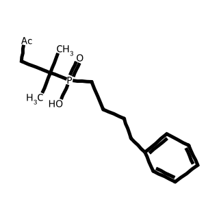 CC(=O)CC(C)(C)P(=O)(O)CCCCc1ccccc1